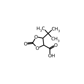 CC(C)(C)C1OC(=O)OC1C(=O)O